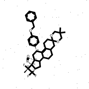 CC1(C)COC2(CCC3=C4C(CCC3C2)C2CC[C@@](N=O)([C@@](C)(F)C(F)(F)F)[C@@]2(C)C[C@@H]4c2ccc(OCc3ccccc3)cc2)OC1